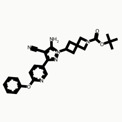 CC(C)(C)OC(=O)N1CC2(CC(n3nc(-c4ccc(Oc5ccccc5)nc4)c(C#N)c3N)C2)C1